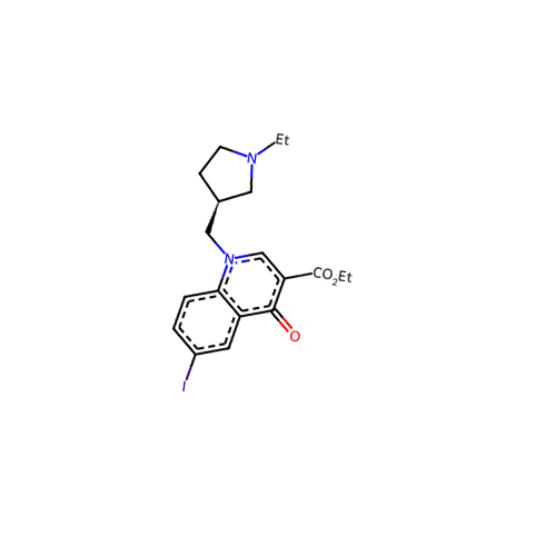 CCOC(=O)c1cn(C[C@H]2CCN(CC)C2)c2ccc(I)cc2c1=O